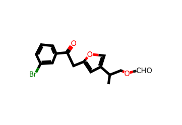 CC(COC=O)c1coc(CC(=O)c2cccc(Br)c2)c1